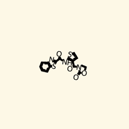 O=C(Nc1sccc1C(=O)N1CCOC1=O)c1nc2ccccc2s1